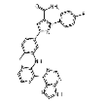 Cc1ccc(-c2cc(C(N)=O)n(-c3ccc(F)cc3)n2)cc1Nc1ncccc1-c1ncnc2[nH]cnc12